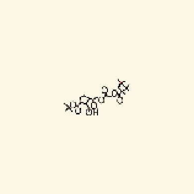 CC(C)=CC(C)(C(=O)OCC(=O)OCC1OC(O)C2C(C(=O)OC(C)(C)C)CCC12)C(C)(C)C